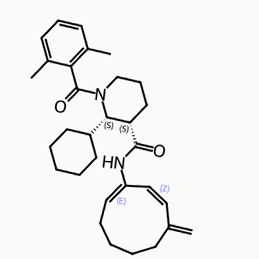 C=C1/C=C\C(NC(=O)[C@H]2CCCN(C(=O)c3c(C)cccc3C)[C@H]2C2CCCCC2)=C/CCCC1